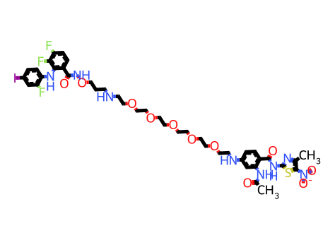 CC(=O)Nc1cc(NCCOCCOCCOCCOCCOCCNCCCONC(=O)c2ccc(F)c(F)c2Nc2ccc(I)cc2F)ccc1C(=O)Nc1nc(C)c([N+](=O)[O-])s1